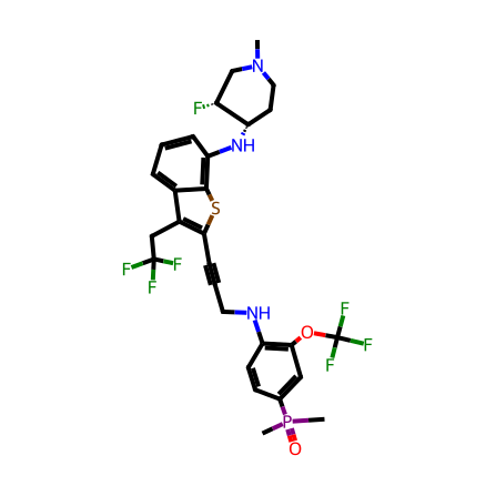 CN1CC[C@H](Nc2cccc3c(CC(F)(F)F)c(C#CCNc4ccc(P(C)(C)=O)cc4OC(F)(F)F)sc23)[C@H](F)C1